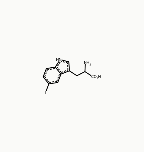 NC(Cc1c[nH]c2ccc(I)cc12)C(=O)O